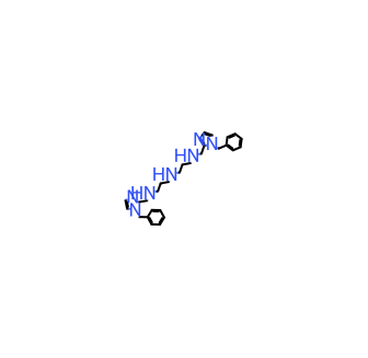 c1ccc(Cn2ccnc2CNCCCNCCCNCc2nccn2Cc2ccccc2)cc1